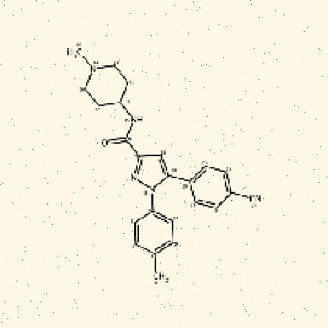 Cc1ccc(-n2nc(C(=O)NC3CCN(C)CC3)cc2-c2ccc(C#N)cc2)cc1